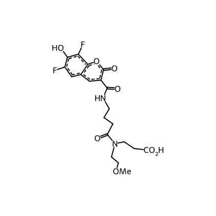 COCCN(CCC(=O)O)C(=O)CCCNC(=O)c1cc2cc(F)c(O)c(F)c2oc1=O